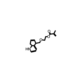 C=C(C)C(=O)OCCOCC1C=CCC2NC=CC=C12